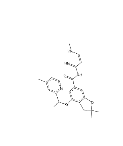 CN/C=C\C(=N)NC(=O)c1cc(OC(C)c2cc(C)ccn2)c2c(c1)OC(C)(C)C2